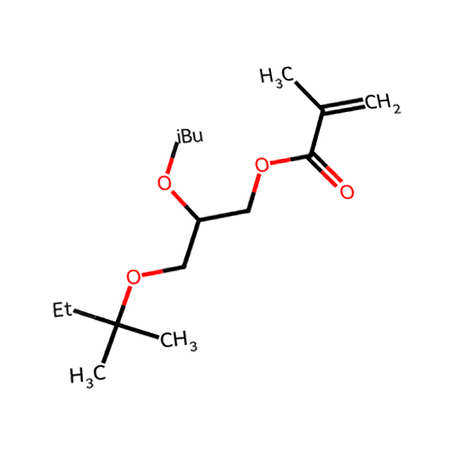 C=C(C)C(=O)OCC(COC(C)(C)CC)OC(C)CC